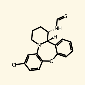 S=CN[C@H]1CCCN2c3cc(Cl)ccc3Oc3ccccc3[C@@H]12